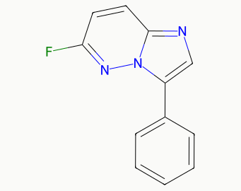 Fc1ccc2ncc(-c3ccccc3)n2n1